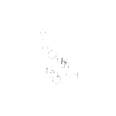 OC(c1cn(-c2ccc(OCC3(F)COC3)cc2)nn1)c1c(C2CC2)ccc2cncn12